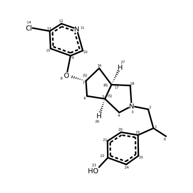 CC(CN1C[C@H]2C[C@H](Oc3cncc(Cl)c3)C[C@H]2C1)c1ccc(O)cc1